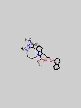 CCOC(O)c1c(CCCOc2cccc3ccccc23)c2ccc(Cl)c3c2n1CCCCCN(C)c1nn(C)c(C)c1-3